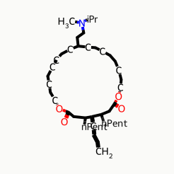 C=C=C=C=C1C(CCCCC)CC(=O)OCCCCCCCCC(CCN(C)C(C)C)CCCCCCCCOC(=O)CC1CCCCC